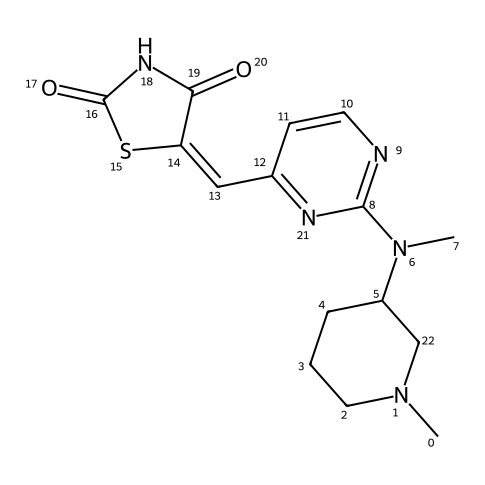 CN1CCCC(N(C)c2nccc(/C=C3/SC(=O)NC3=O)n2)C1